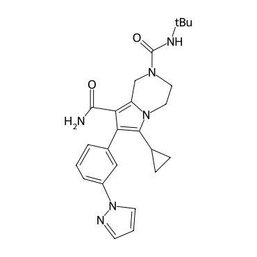 CC(C)(C)NC(=O)N1CCn2c(c(C(N)=O)c(-c3cccc(-n4cccn4)c3)c2C2CC2)C1